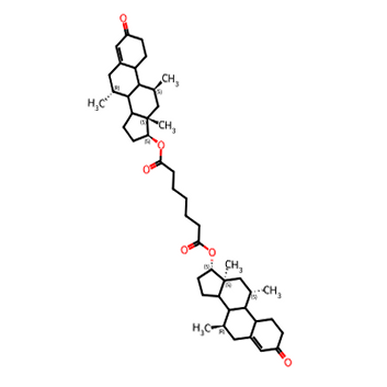 C[C@@H]1CC2=CC(=O)CCC2C2C1C1CC[C@H](OC(=O)CCCCCC(=O)O[C@H]3CCC4C5C(C6CCC(=O)C=C6C[C@H]5C)[C@@H](C)C[C@@]43C)[C@@]1(C)C[C@@H]2C